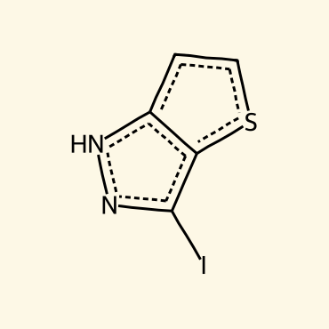 Ic1n[nH]c2ccsc12